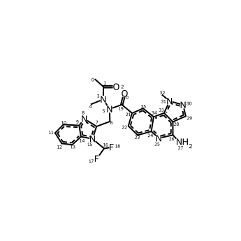 CC(=O)N(C)N(Cc1nc2ccccc2n1C(F)F)C(=O)c1ccc2nc(N)c3cnn(C)c3c2c1